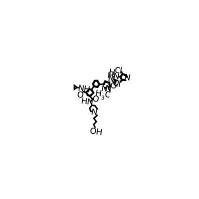 CCn1nc(-c2cccc(-c3cc(C(=O)NC4CC4)cc(C(=O)NC4CCN(CCCCCO)CC4)c3)c2)cc(NC(=O)Nc2c(Cl)cncc2Cl)c1=O